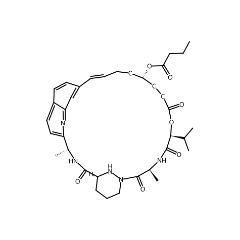 CCCC(=O)O[C@H]1CC/C=C/c2ccc3ccc(nc3c2)[C@@H](C)NC(=O)[C@@H]2CCCN(N2)C(=O)[C@H](C)NC(=O)[C@H](C(C)C)OC(=O)CC1